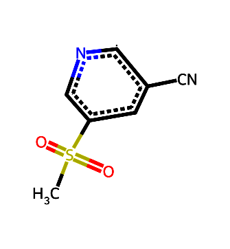 CS(=O)(=O)c1cn[c]c(C#N)c1